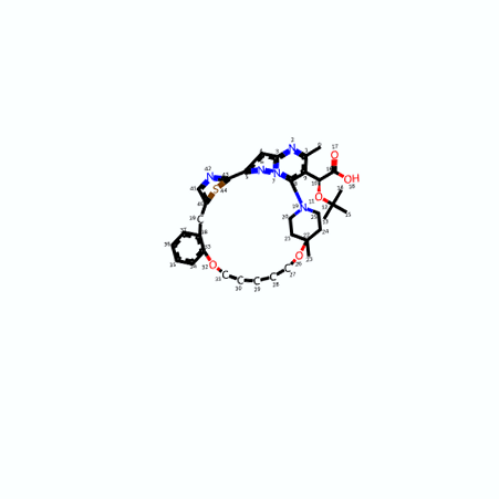 Cc1nc2cc3nn2c(c1[C@H](OC(C)(C)C)C(=O)O)N1CCC(C)(CC1)OCCCCCOc1ccccc1Cc1cnc-3s1